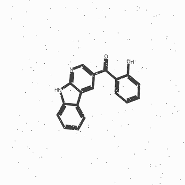 O=C(c1cnc2[nH]c3ccccc3c2c1)c1ccccc1O